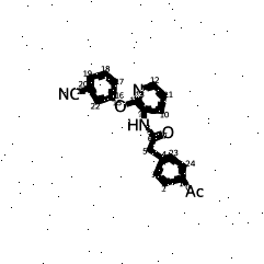 CC(=O)c1ccc(CC(=O)Nc2cccnc2Oc2cccc(C#N)c2)cc1